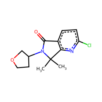 CC1(C)c2nc(Cl)ccc2C(=O)N1C1CCOC1